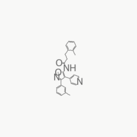 Cc1cccc(-c2noc(NC(=O)CCc3ccccc3C)c2-c2ccncc2)c1